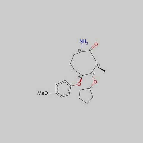 COc1ccc(O[C@H]2CCC[C@H](N)C(=O)C[C@@H](C)[C@@H]2OC2CCCC2)cc1